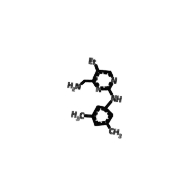 CCc1cnc(Nc2cc(C)cc(C)c2)nc1CN